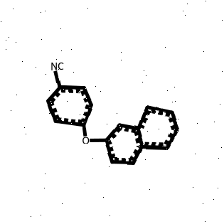 [C-]#[N+]c1ccc(Oc2ccc3ccccc3c2)cc1